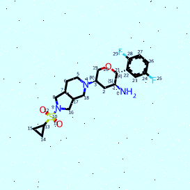 N[C@H]1C[C@@H](N2CCC3CN(S(=O)(=O)C4CC4)CC3C2)CO[C@@H]1c1cc(F)ccc1F